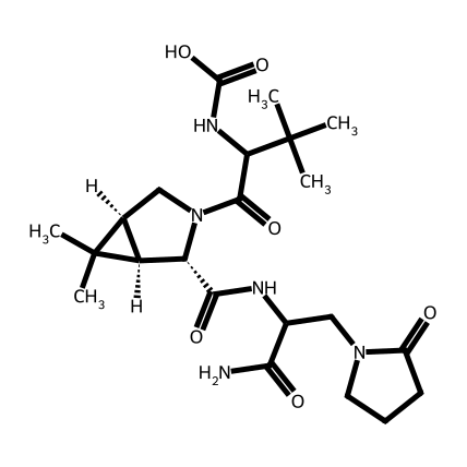 CC(C)(C)C(NC(=O)O)C(=O)N1C[C@H]2[C@@H]([C@H]1C(=O)NC(CN1CCCC1=O)C(N)=O)C2(C)C